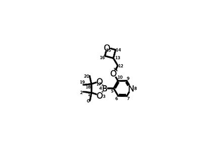 CC1(C)OB(c2ccncc2OCC2COC2)OC1(C)C